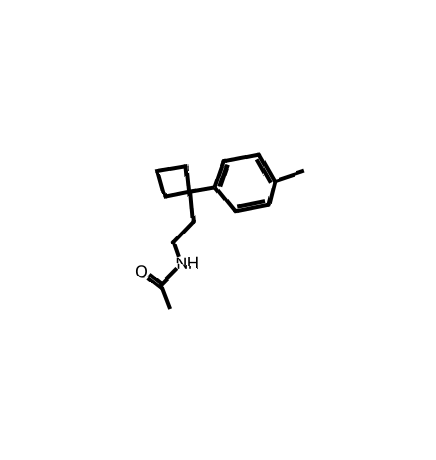 CC(=O)NCCC1(c2ccc(C)cc2)CCC1